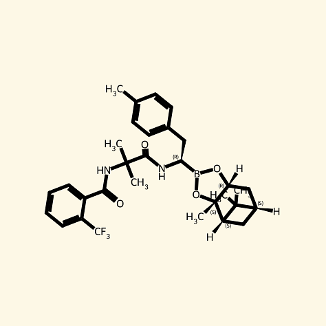 Cc1ccc(C[C@H](NC(=O)C(C)(C)NC(=O)c2ccccc2C(F)(F)F)B2O[C@@H]3C[C@@H]4C[C@@H](C4(C)C)[C@]3(C)O2)cc1